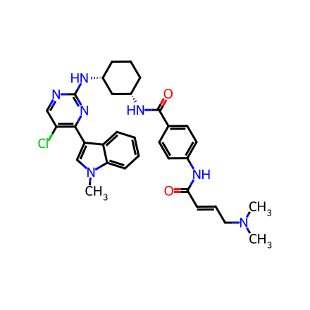 CN(C)C/C=C/C(=O)Nc1ccc(C(=O)N[C@H]2CCC[C@@H](Nc3ncc(Cl)c(-c4cn(C)c5ccccc45)n3)C2)cc1